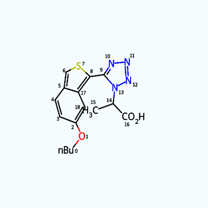 CCCCOc1ccc2csc(-c3nnnn3C(C)C(=O)O)c2c1